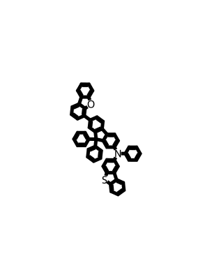 c1ccc(N(c2ccc3c(c2)C(c2ccccc2)(c2ccccc2)c2cc(-c4cccc5c4oc4ccccc45)ccc2-3)c2ccc3sc4ccccc4c3c2)cc1